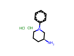 Cl.Cl.N[C@H]1CCCN(c2ccccc2)C1